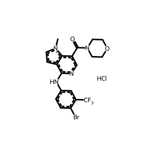 Cl.Cn1ccc2c(Nc3ccc(Br)c(C(F)(F)F)c3)ncc(C(=O)N3CCOCC3)c21